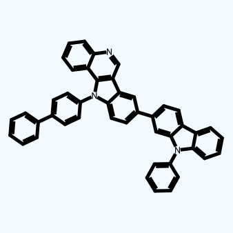 c1ccc(-c2ccc(-n3c4ccc(-c5ccc6c7ccccc7n(-c7ccccc7)c6c5)cc4c4cnc5ccccc5c43)cc2)cc1